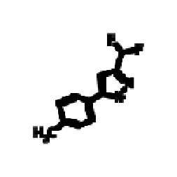 Cc1ccc(C2=CC(C(F)F)=N[N]2)cc1